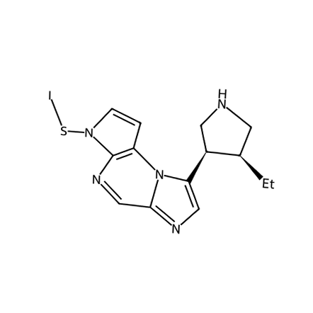 CC[C@@H]1CNC[C@@H]1c1cnc2cnc3c(ccn3SI)n12